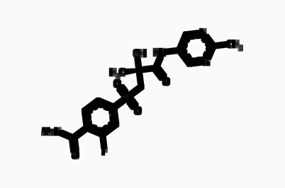 CNC(=O)c1ccc(S(=O)(=O)C[C@](C)(O)C(=O)Nc2cnc(C)nc2)cc1F